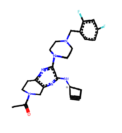 CC(=O)N1CCc2nc(N3CCN(Cc4ccc(F)cc4F)CC3)c(N[C@@H]3C#CC3)nc2C1